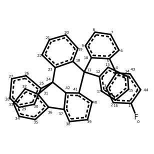 Fc1ccc(-c2ccccc2C2(c3ccccc3)c3ccccc3C3(c4ccccc4)c4ccccc4-c4cccc2c43)cc1